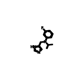 CC(C)N(Cc1cnc[nH]1)c1cccc(F)c1